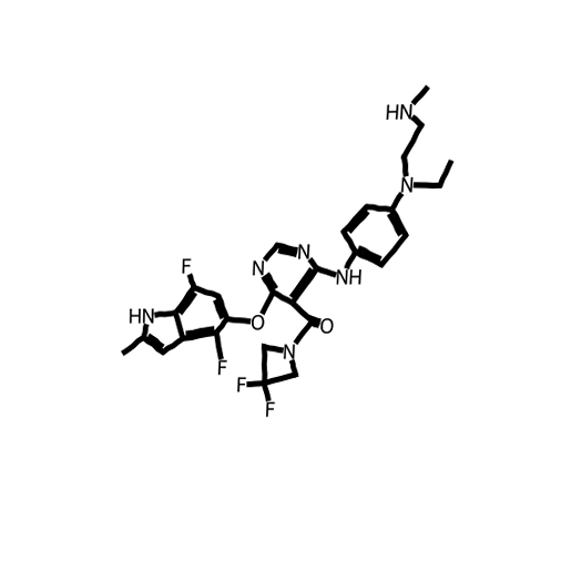 CCN(CCNC)c1ccc(Nc2ncnc(Oc3cc(F)c4[nH]c(C)cc4c3F)c2C(=O)N2CC(F)(F)C2)cc1